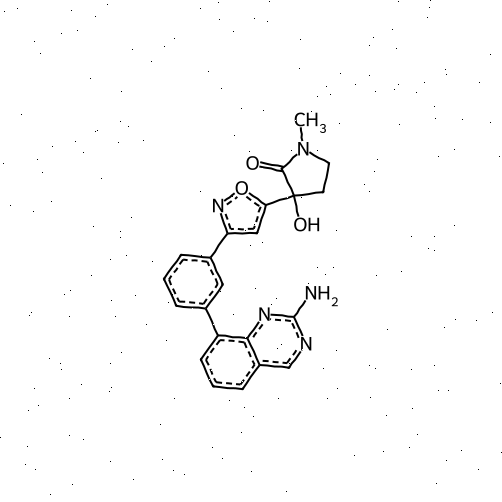 CN1CCC(O)(c2cc(-c3cccc(-c4cccc5cnc(N)nc45)c3)no2)C1=O